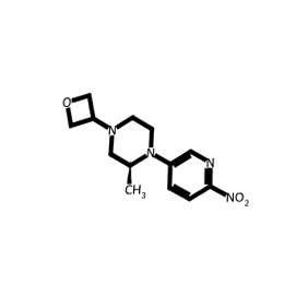 C[C@H]1CN(C2COC2)CCN1c1ccc([N+](=O)[O-])nc1